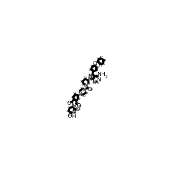 Nc1ncnc2c1c(-c1ccc(Oc3ccccc3)cc1)nn2C1CCCN(C(=O)N2CCN(c3ccc4c(c3)C(=O)N(C3CCC(=O)NC3=O)C4=O)CC2)C1